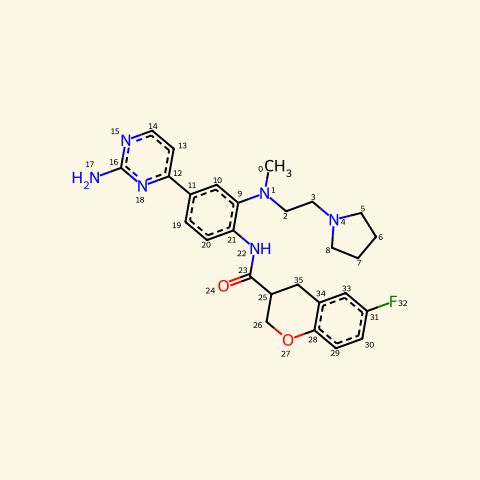 CN(CCN1CCCC1)c1cc(-c2ccnc(N)n2)ccc1NC(=O)C1COc2ccc(F)cc2C1